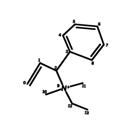 C=CC(c1ccccc1)[N+](C)(C)CC